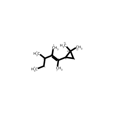 CCC(C)/C(C)=C(\C)C1CC1(C)C